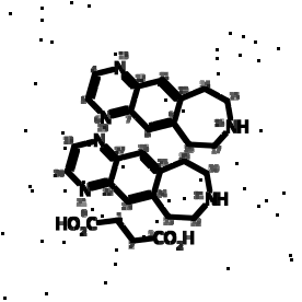 O=C(O)CCC(=O)O.c1cnc2cc3c(cc2n1)CCNCC3.c1cnc2cc3c(cc2n1)CCNCC3